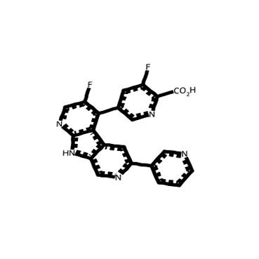 O=C(O)c1ncc(-c2c(F)cnc3[nH]c4cnc(-c5cccnc5)cc4c23)cc1F